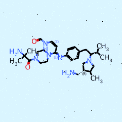 CC(C)C(Cc1ccc(/N=C(\C=C/NC=O)N2CCN(C(=O)C(C)(C)N)CC2)cc1)N1CC(C)[C@H](CN)C1